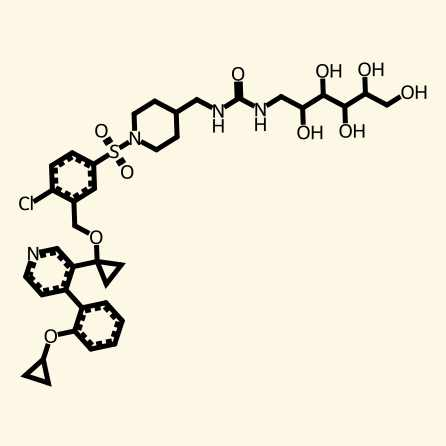 O=C(NCC1CCN(S(=O)(=O)c2ccc(Cl)c(COC3(c4cnccc4-c4ccccc4OC4CC4)CC3)c2)CC1)NCC(O)C(O)C(O)C(O)CO